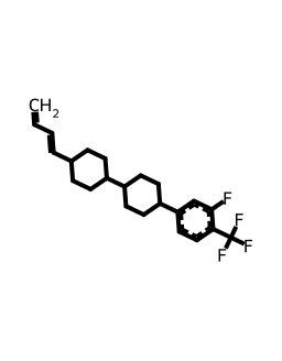 C=CC=CC1CCC(C2CCC(c3ccc(C(F)(F)F)c(F)c3)CC2)CC1